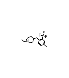 CCN1CCC(Cc2ccc(C)cc2C(F)(F)F)CC1